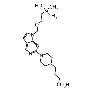 C[Si](C)(C)CCOCn1ccc2cnc(N3CCC(CCCC(=O)O)CC3)nc21